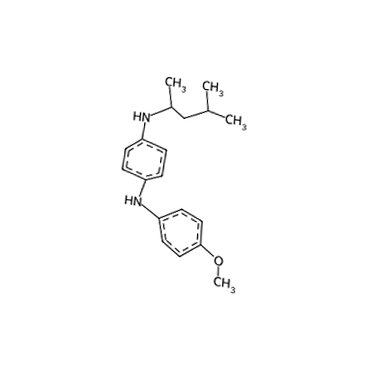 COc1ccc(Nc2ccc(NC(C)CC(C)C)cc2)cc1